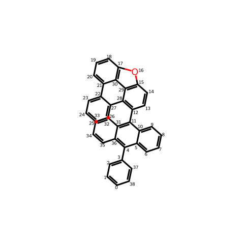 c1ccc(-c2c3ccccc3c(-c3ccc4oc5cccc6c7ccccc7c3c4c56)c3ccccc23)cc1